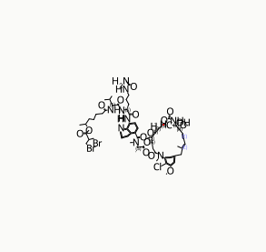 COc1cc2cc(c1Cl)N(C)C(=O)C[C@H](OC(=O)[C@H](C)N(C)C(=O)c1ccc(NC(=O)[C@H](CCCNC(N)=O)NC(=O)[C@@H](NC(=O)CCCCC(C)OC(=O)C(CBr)CBr)C(C)C)c3ncccc13)[C@]1(C)O[C@H]1[C@H](C)[C@@H]1C[C@@](O)(NC(=O)O1)[C@H](OC)/C=C/C=C(\C)C2